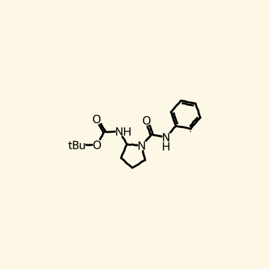 CC(C)(C)OC(=O)NC1CCCN1C(=O)Nc1[c]cccc1